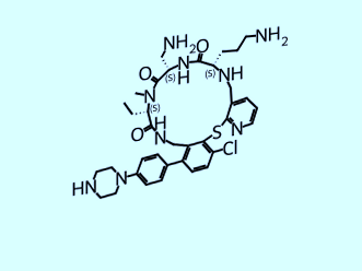 CC[C@H]1C(=O)NCc2c(-c3ccc(N4CCNCC4)cc3)ccc(Cl)c2Sc2ncccc2CN[C@@H](CCCN)C(=O)N[C@@H](CN)C(=O)N1C